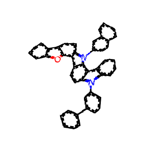 c1ccc(-c2cccc(-n3c4ccccc4c4c3ccc3c5c6oc7ccccc7c6ccc5n(-c5ccc6ccccc6c5)c34)c2)cc1